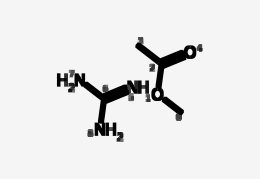 COC(C)=O.N=C(N)N